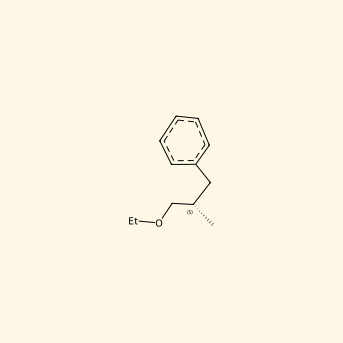 CCOC[C@@H](C)Cc1ccccc1